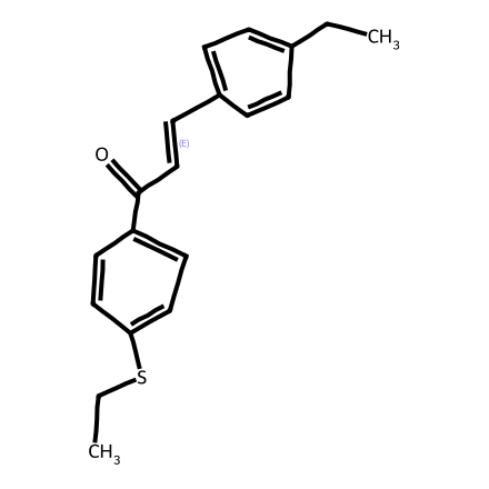 CCSc1ccc(C(=O)/C=C/c2ccc(CC)cc2)cc1